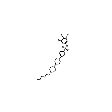 CCCCCC[C@H]1CC[C@H]([C@H]2CC[C@H](c3ccc(C(F)(F)Oc4cc(F)c(F)c(F)c4)cc3)CC2)CC1